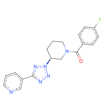 O=C(c1ccc(F)cc1)N1CCC[C@H](n2nnc(-c3cccnc3)n2)C1